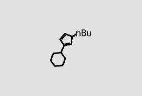 CCCC[C]1C=CC(C2CCCCC2)=C1